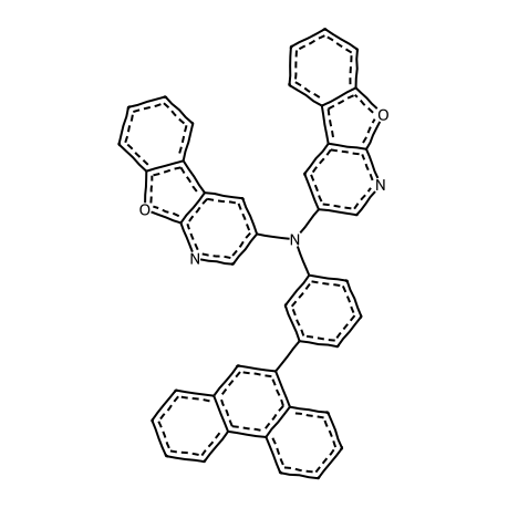 c1cc(-c2cc3ccccc3c3ccccc23)cc(N(c2cnc3oc4ccccc4c3c2)c2cnc3oc4ccccc4c3c2)c1